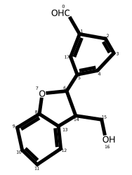 O=Cc1cccc(C2Oc3ccccc3C2CO)c1